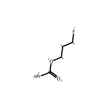 CCCC(=O)OCCCF